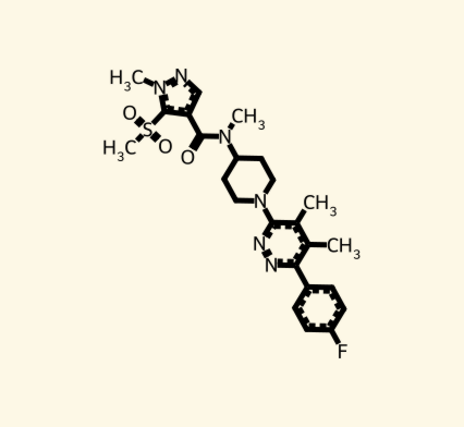 Cc1c(-c2ccc(F)cc2)nnc(N2CCC(N(C)C(=O)c3cnn(C)c3S(C)(=O)=O)CC2)c1C